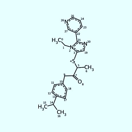 CCn1c(SC(C)C(=O)Cc2ccc(C(C)C)cc2)cnc1-c1cccnc1